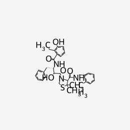 CCc1c(O)cccc1C(=O)N[C@@H](Cc1ccccc1)[C@H](O)C(=O)N1CSC(C)(C)C1C(=O)NCc1ccccc1C